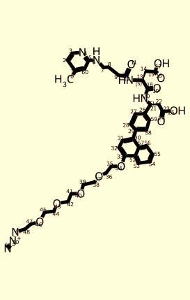 Cc1ccnc(NCCCC(=O)N[C@@H](CC(=O)O)C(=O)N[C@@H](CC(=O)O)c2ccc(-c3ccc(OCCOCCOCCOCCOCCN=[N+]=[N-])c4ccccc34)cc2)c1